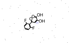 O=C(O)/C(O)=C\C(=O)c1c(F)cccc1F